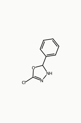 ClC1=NNC(c2ccccc2)O1